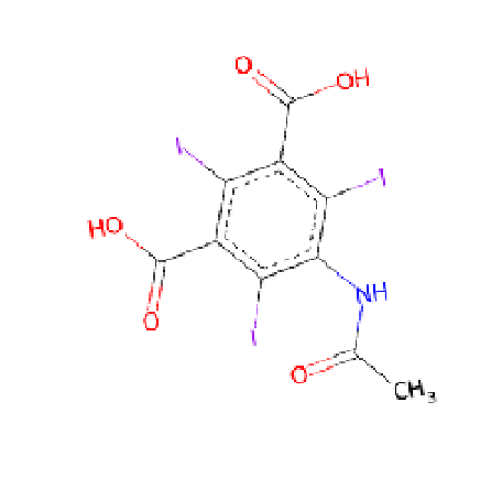 CC(=O)Nc1c(I)c(C(=O)O)c(I)c(C(=O)O)c1I